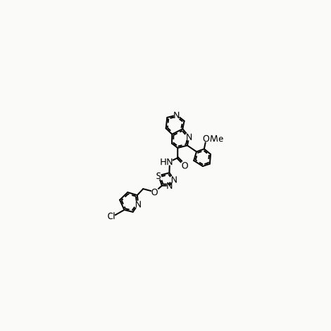 COc1ccccc1-c1nc2cnccc2cc1C(=O)Nc1nnc(OCc2ccc(Cl)cn2)s1